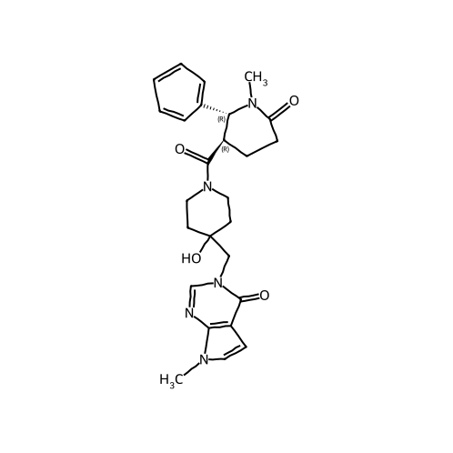 CN1C(=O)CC[C@@H](C(=O)N2CCC(O)(Cn3cnc4c(ccn4C)c3=O)CC2)[C@@H]1c1ccccc1